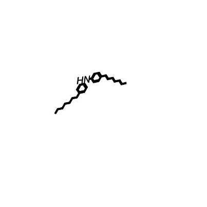 CCCCCCCc1ccc(Nc2ccc(CCCCCCC)cc2)cc1